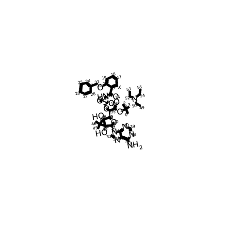 CC(C)(C)OC(=O)C(OS(=O)(=O)NC(=O)c1ccccc1OCc1ccccc1)[C@H]1O[C@@H](n2cnc3c(N)ncnc32)[C@@]2(O)C(C)(C)[C@@]12O.CCN(CC)CC